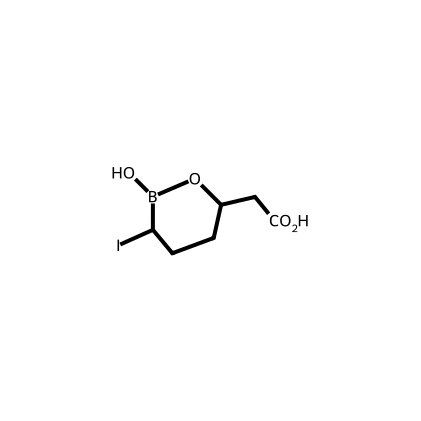 O=C(O)CC1CCC(I)B(O)O1